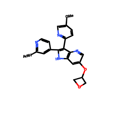 COc1ccc(-c2c(-c3ccnc(NC(C)=O)c3)[nH]c3cc(OC4COC4)cnc23)nc1